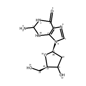 NC1NC(=O)c2ncn([C@H]3CC(O)[C@@H](CO)O3)c2N1